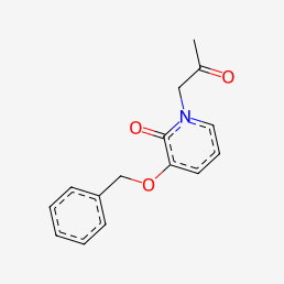 CC(=O)Cn1cccc(OCc2ccccc2)c1=O